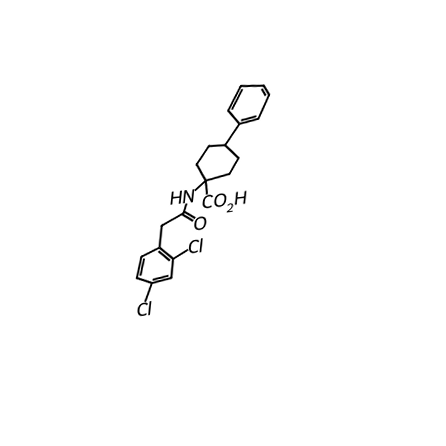 O=C(Cc1ccc(Cl)cc1Cl)NC1(C(=O)O)CCC(c2ccccc2)CC1